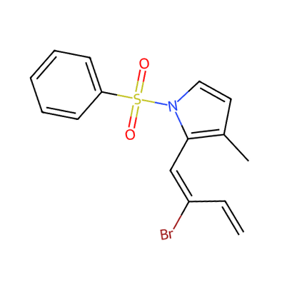 C=C/C(Br)=C\c1c(C)ccn1S(=O)(=O)c1ccccc1